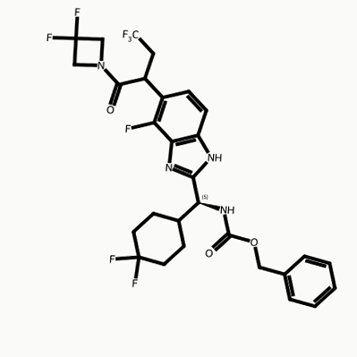 O=C(N[C@H](c1nc2c(F)c(C(CC(F)(F)F)C(=O)N3CC(F)(F)C3)ccc2[nH]1)C1CCC(F)(F)CC1)OCc1ccccc1